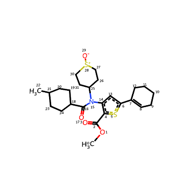 COC(=O)c1sc(C2=CCCCC2)cc1N(C(=O)C1CCC(C)CC1)C1CC[S+]([O-])CC1